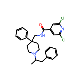 CC(Cc1ccccc1)N1CCC(CNC(=O)c2cc(Cl)nc(Cl)c2)(c2ccccc2)CC1